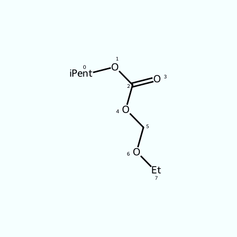 CCCC(C)OC(=O)OCOCC